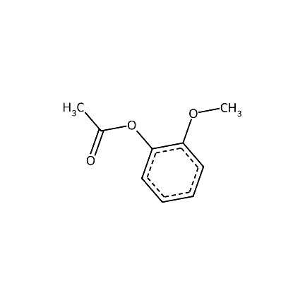 COc1ccccc1OC(C)=O